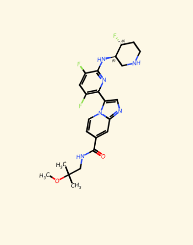 COC(C)(C)CNC(=O)c1ccn2c(-c3nc(N[C@@H]4CNCC[C@H]4F)c(F)cc3F)cnc2c1